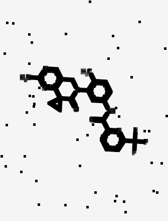 Cc1ccc(NC(=O)c2cccc(C(F)(F)F)n2)cc1N1Cc2cnc(N)nc2C2(CC2)C1=O